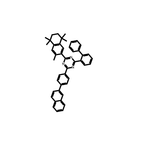 Cc1cc2c(cc1-c1nc(-c3ccc(-c4ccc5ccccc5c4)cc3)nc(-c3ccccc3-c3ccccc3)n1)C(C)(C)CCC2(C)C